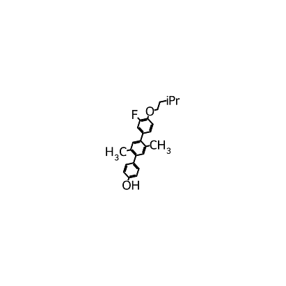 Cc1cc(-c2ccc(OCCC(C)C)c(F)c2)c(C)cc1-c1ccc(O)cc1